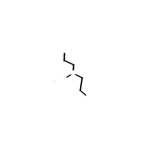 I.NN(CCO)CCO